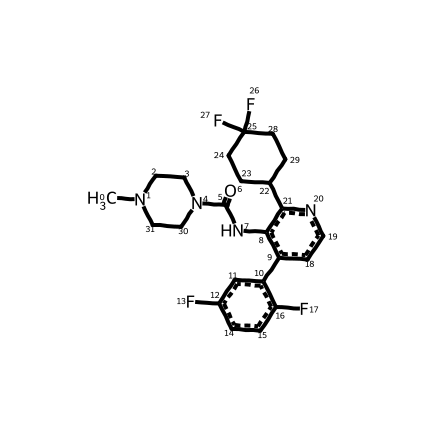 CN1CCN(C(=O)Nc2c(-c3cc(F)ccc3F)ccnc2C2CCC(F)(F)CC2)CC1